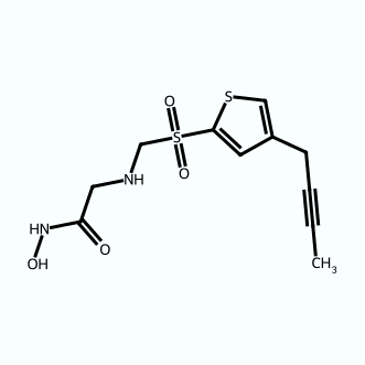 CC#CCc1csc(S(=O)(=O)CNCC(=O)NO)c1